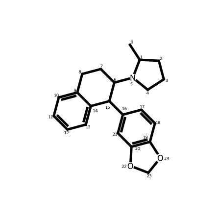 CC1CCCN1C1CCc2ccccc2C1c1ccc2c(c1)OCO2